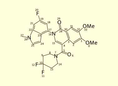 COc1cc2c(C(=O)N3CCC(F)(F)CC3)cn(-c3cc(F)cc4c3ccn4C)c(=O)c2cc1OC